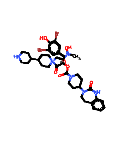 CN(O)C(=O)C[N+]1(C(=O)[C@@H](Cc2cc(Br)c(O)c(Br)c2)OC(=O)N2CCC(N3CCc4ccccc4NC3=O)CC2)CCC(C2CCNCC2)CC1